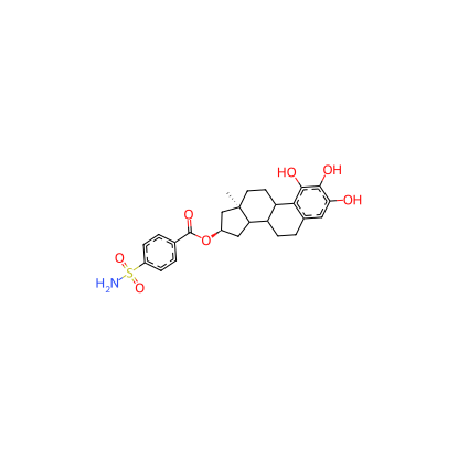 C[C@]12CCC3c4c(cc(O)c(O)c4O)CCC3C1C[C@@H](OC(=O)c1ccc(S(N)(=O)=O)cc1)C2